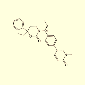 CC[C@@H](c1ccc(-c2ccc(=O)n(C)c2)cc1)N1CCC(CC)(c2ccccc2)OC1=O